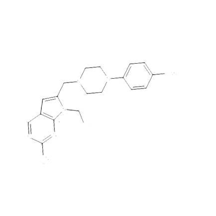 COc1ccc(N2CCN(Cc3cc4cnc(C#N)nc4n3CC(C)C)CC2)cc1